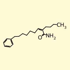 CCCCC(=CCCCCCCc1ccccc1)C(N)=O